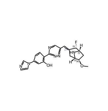 CO[C@@H]1C[C@@H]2N[C@H]1C/C(=C\c1cnc(-c3ccc(-n4ccnc4)cc3O)nn1)[C@@H]2F